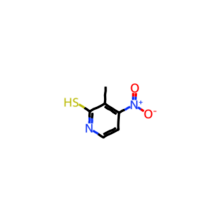 Cc1c([N+](=O)[O-])ccnc1S